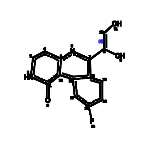 O=c1[nH]ccc2nc(/C(O)=C/O)c3ccc(F)cc3c12